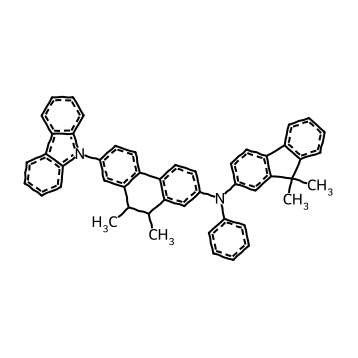 CC1c2cc(N(c3ccccc3)c3ccc4c(c3)C(C)(C)c3ccccc3-4)ccc2-c2ccc(-n3c4ccccc4c4ccccc43)cc2C1C